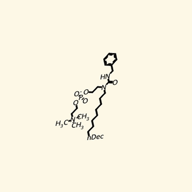 CCCCCCCCCCCCCCCCCCN(CCOP(=O)([O-])OCC[N+](C)(C)C)C(=O)NCc1ccccc1